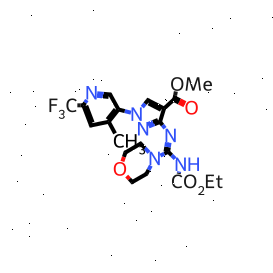 CCOC(=O)NC(=Nc1nn(-c2cnc(C(F)(F)F)cc2C)cc1C(=O)OC)N1CCOCC1